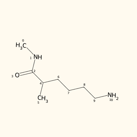 CNC(=O)C(C)CCCCN